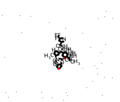 CC[C@@H]1CN(Cc2cc([C@@H](c3ccc4c(c3C)NNN4CC)C(C)(C)NC(=O)c3cncc(C(F)(F)F)c3)ccc2C)S(=O)(=O)c2ccccc2O1